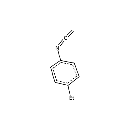 C=C=Nc1ccc(CC)cc1